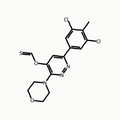 Cc1c(Cl)cc(-c2cc(OC=S)c(N3CCOCC3)nn2)cc1Cl